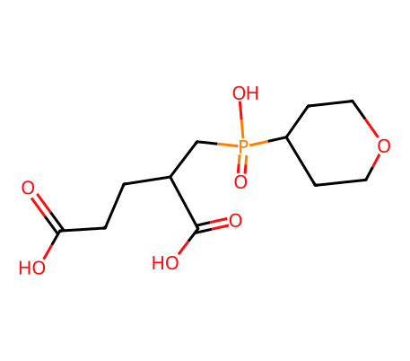 O=C(O)CCC(CP(=O)(O)C1CCOCC1)C(=O)O